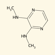 CNc1nccnc1NC